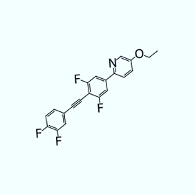 CCOc1ccc(-c2cc(F)c(C#Cc3ccc(F)c(F)c3)c(F)c2)nc1